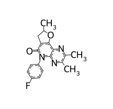 Cc1nc2c3c(c(=O)n(-c4ccc(F)cc4)c2nc1C)CC(C)O3